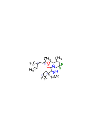 C=C/C(=C\C=C(/C)OCC1C(C)CC(F)(F)CN1C(=O)C(=N)/C(=C\NC)C/C=C\C)C(F)(F)F